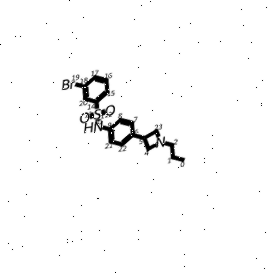 CCCN1CC(c2ccc(NS(=O)(=O)c3cccc(Br)c3)cc2)C1